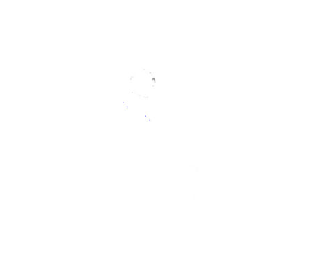 c1ccc(N(c2ccc(-c3cccc4c3sc3ccccc34)cc2)c2ccccc2-n2c3ccccc3c3ccccc32)cc1